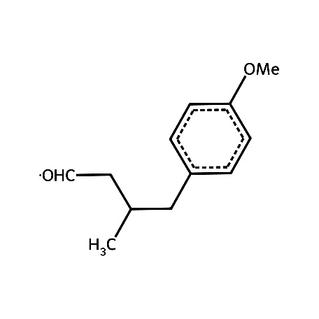 COc1ccc(CC(C)C[C]=O)cc1